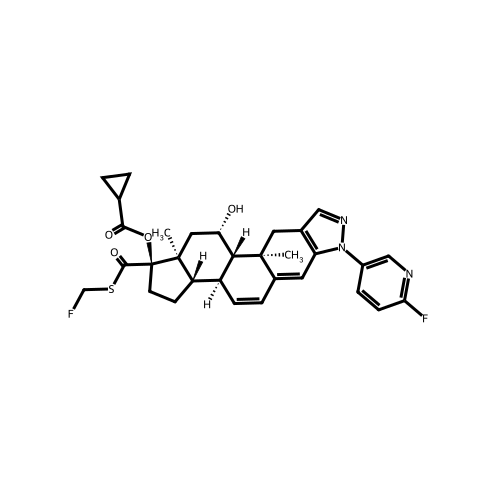 C[C@]12Cc3cnn(-c4ccc(F)nc4)c3C=C1C=C[C@@H]1[C@@H]2[C@@H](O)C[C@@]2(C)[C@H]1CC[C@]2(OC(=O)C1CC1)C(=O)SCF